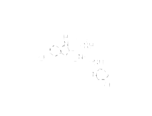 Cc1nc(NCCN2CCc3c([nH]c4ccc(Cl)cc34)C2C2CCCN2)ccc1Cl